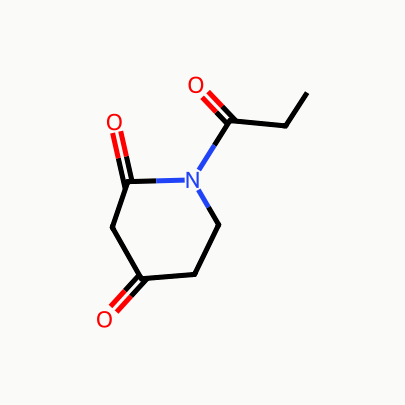 CCC(=O)N1CCC(=O)CC1=O